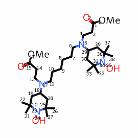 COC(=O)CCN(CCCCCCN(CCC(=O)OC)C1CC(C)(C)N(O)C(C)(C)C1)C1CC(C)(C)N(O)C(C)(C)C1